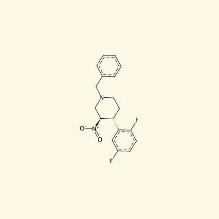 O=[N+]([O-])[C@H]1CN(Cc2ccccc2)CC[C@@H]1c1cc(F)ccc1F